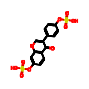 O=c1c(-c2ccc(OS(=O)(=O)O)cc2)coc2cc(OS(=O)(=O)O)ccc12